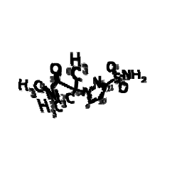 CN(C)C(=O)C(C)(C)n1ccc(S(N)(=O)=O)n1